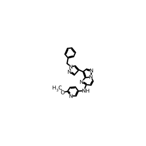 COc1ccc(Nc2ccn3ncc(-c4cnn(Cc5ccccc5)c4)c3n2)cn1